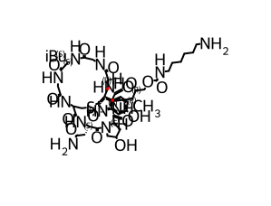 CC[C@H](C)[C@@H]1NC(=O)CNC(=O)[C@H]2Cc3c([nH]c4cc(O)ccc34)[S@+]([O-])CC(NC(=O)CNC1=O)C(=O)N[C@@H](CC(N)=O)C(=O)N1CC(O)C[C@H]1C(=O)N[C@@H]([C@@H](C)[C@@H](O)COC(=O)NCCCCCCN)C(=O)N2